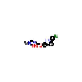 CC(=O)N1CCN(CC(O)COc2ccc(C3CCCc4c3[nH]c3ccc(Cl)cc43)cc2)CC1